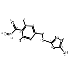 Cc1cc(CSc2nnc(S)s2)cc(C)c1C(=O)P=O